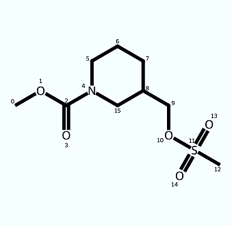 COC(=O)N1CCCC(COS(C)(=O)=O)C1